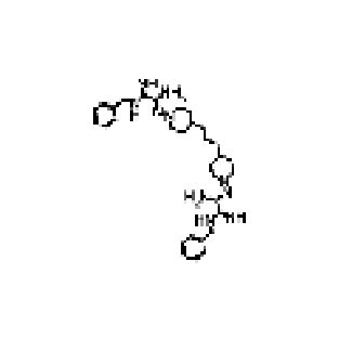 N=C(NCc1ccccc1)C(N)=NN1CCC(CCCC2CCN(N=C(N)C(=N)NCc3ccccc3)CC2)CC1